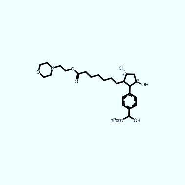 CCCCCC(O)c1ccc(C2C(CCCCCCC(=O)OCCN3CCOCC3)[C@H](Cl)C[C@H]2O)cc1